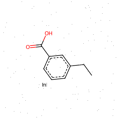 CCc1cccc(C(=O)O)c1.[In]